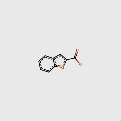 [O]C(=O)c1cc2ccccc2s1